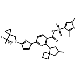 Cc1nn(C)cc1S(=O)(=O)NC(=O)c1ccc(-n2ccc(OCC3(C(F)(F)P)CC3)n2)nc1N1CC(C)CC12CCC2